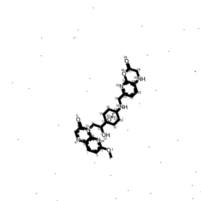 COc1ccc2ncc(=O)n(CC(O)C34CCC(NCc5ccc6c(n5)OC(=O)CN6)(CC3)CO4)c2n1